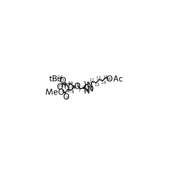 COC(=O)[C@@H]1C[C@@H](OCc2cn(CCCCCOC(C)=O)nn2)CN1C(=O)OC(C)(C)C